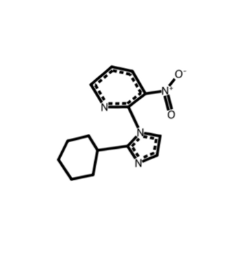 O=[N+]([O-])c1cccnc1-n1ccnc1C1CCCCC1